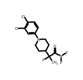 CC(F)(C(=O)N(F)F)C1CCN(c2ccc(Cl)c(Cl)c2)CC1